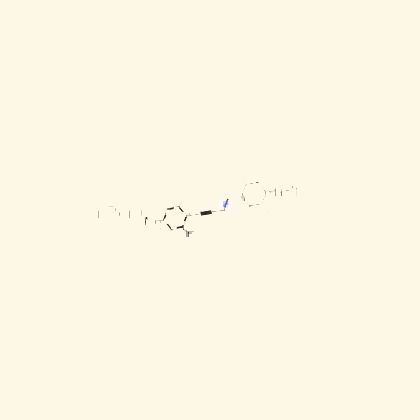 CCCCCOc1ccc(C#C/C=C/[C@H]2CC[C@H](CCC)CC2)c(F)c1